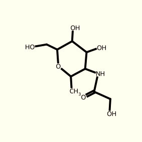 CC1OC(CO)C(O)C(O)C1NC(=O)CO